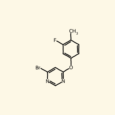 Cc1ccc(Oc2cc(Br)ncn2)cc1F